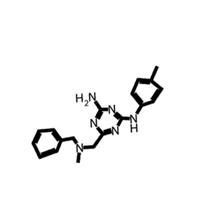 Cc1ccc(Nc2nc(N)nc(CN(C)Cc3ccccc3)n2)cc1